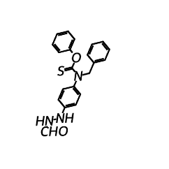 O=CNNc1ccc(N(Cc2ccccc2)C(=S)Oc2ccccc2)cc1